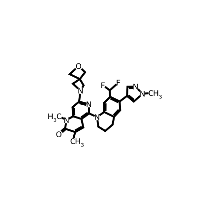 Cc1cc2c(N3CCCc4cc(-c5cnn(C)c5)c(C(F)F)cc43)nc(N3CC4(COC4)C3)cc2n(C)c1=O